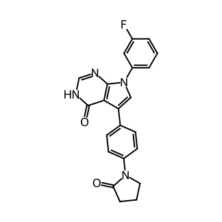 O=C1CCCN1c1ccc(-c2cn(-c3cccc(F)c3)c3nc[nH]c(=O)c23)cc1